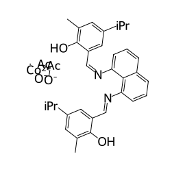 CC(=O)[O-].CC(=O)[O-].Cc1cc(C(C)C)cc(C=Nc2cccc3cccc(N=Cc4cc(C(C)C)cc(C)c4O)c23)c1O.[Co+2]